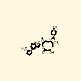 C/C(=C\c1cc(F)cc(N2CCC[C@@H]2C)c1)[C@H]1OC(=O)C[C@H](O)CC[C@H](C)[C@@H](OC(=O)N2CCN(C)CC2)/C=C/[C@@H]1C